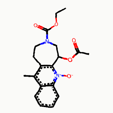 CCOC(=O)N1CCc2c(C)c3ccccc3[n+]([O-])c2C(OC(C)=O)C1